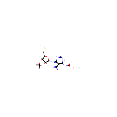 CC(=O)SC[C@H]1O[C@@H](n2nc(I)c3c(NC(=O)OC(C)(C)C)ncnc32)[C@@H]2OC(C)(C)O[C@@H]21